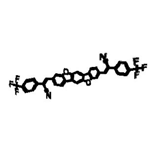 N#C/C(=C\c1ccc2c(c1)oc1cc3c(cc12)oc1cc(/C=C(\C#N)c2ccc(C(F)(F)F)cc2)ccc13)c1ccc(C(F)(F)F)cc1